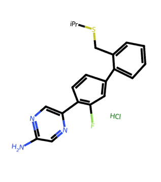 CC(C)SCc1ccccc1-c1ccc(-c2cnc(N)cn2)c(F)c1.Cl